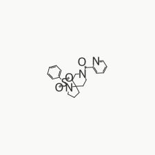 O=C(c1ccccn1)N1CCC2(CCCN2S(=O)(=O)c2ccccc2)CC1